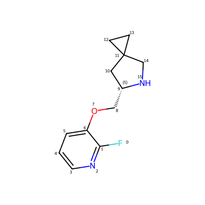 Fc1ncccc1OC[C@@H]1CC2(CC2)CN1